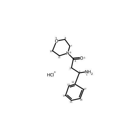 Cl.NC(CC(=O)N1CCOCC1)c1ccccc1